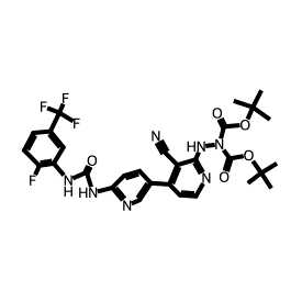 CC(C)(C)OC(=O)N(Nc1nccc(-c2ccc(NC(=O)Nc3cc(C(F)(F)F)ccc3F)nc2)c1C#N)C(=O)OC(C)(C)C